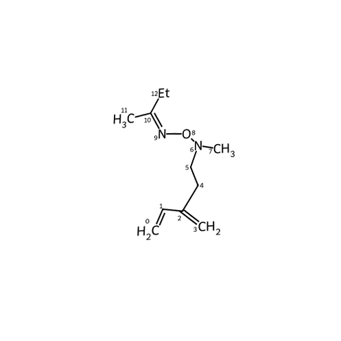 C=CC(=C)CCN(C)O/N=C(/C)CC